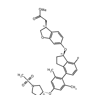 COC(=O)C[C@@H]1COc2cc(O[C@@H]3CCc4c(-c5c(C)cc(O[C@@H]6CCN(S(C)(=O)=O)C6)cc5C)ccc(F)c43)ccc21